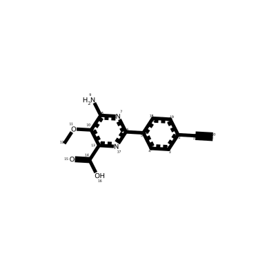 C#Cc1ccc(-c2nc(N)c(OC)c(C(=O)O)n2)cc1